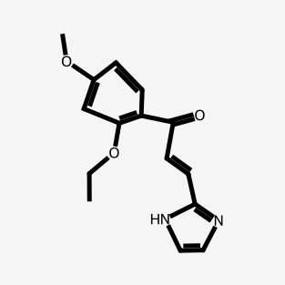 CCOc1cc(OC)ccc1C(=O)/C=C/c1ncc[nH]1